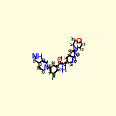 NCC1CCN(c2cc(F)cc(C(=O)Nc3cnc4nc(N5CCOCC5)sc4c3)c2)CC1